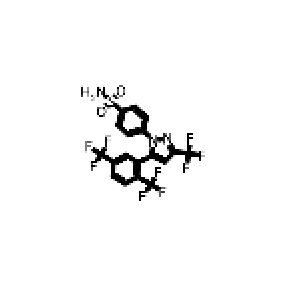 NS(=O)(=O)c1ccc(-n2nc(C(F)(F)F)cc2-c2cc(C(F)(F)F)ccc2C(F)(F)F)cc1